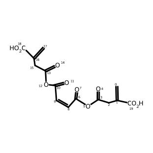 C=C(CC(=O)OC(=O)/C=C\C(=O)OC(=O)CC(=C)C(=O)O)C(=O)O